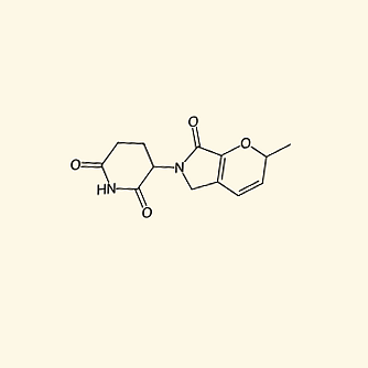 CC1C=CC2=C(O1)C(=O)N(C1CCC(=O)NC1=O)C2